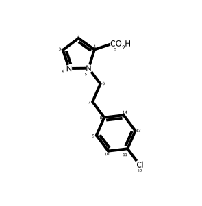 O=C(O)c1ccnn1CCc1ccc(Cl)cc1